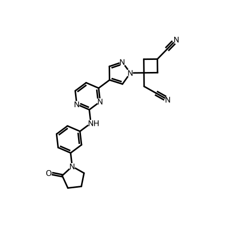 N#CCC1(n2cc(-c3ccnc(Nc4cccc(N5CCCC5=O)c4)n3)cn2)CC(C#N)C1